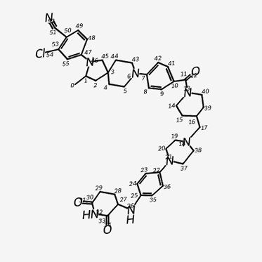 CC1CC2(CCN(c3ccc(C(=O)N4CCC(CN5CCN(c6ccc(NC7CCC(=O)NC7=O)cc6)CC5)CC4)cc3)CC2)CN1c1ccc(C#N)c(Cl)c1